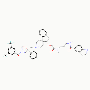 CN(CCCN(C)C(=O)c1ccc2c(c1)CCN2)C(=O)CO[C@H]1Cc2ccccc2C12CCN(CC[C@@]1(c3ccc(F)cc3)CN(C(=O)c3cc(C(F)(F)F)cc(C(F)(F)F)c3)CO1)CC2